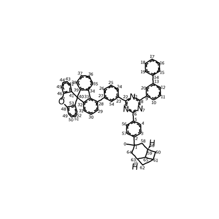 CC1(c2ccc(-c3nc(-c4cccc(-c5ccccc5)c4)nc(-c4cccc(-c5cccc6c5-c5ccccc5C65c6ccccc6Oc6ccccc65)c4)n3)cc2)C[C@@H]2CC3C[C@@H](C1)C32